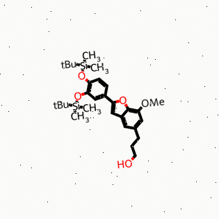 COc1cc(CCCO)cc2cc(-c3ccc(O[Si](C)(C)C(C)(C)C)c(O[Si](C)(C)C(C)(C)C)c3)oc12